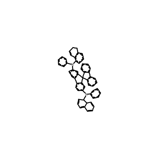 C1=CC2=CC=CC(N(c3ccccc3)c3ccc4c(c3)C3(c5ccccc5-c5ccccc53)c3cc(N(c5ccccc5)c5cccc6c5C=CCC6)ccc3-4)C2C=C1